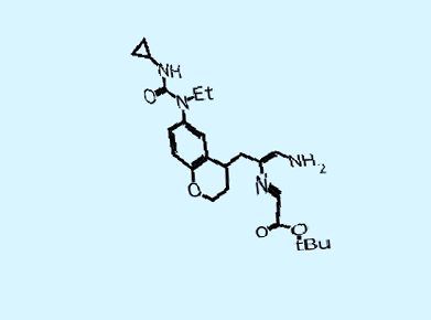 CCN(C(=O)NC1CC1)c1ccc2c(c1)C(CC(=C/N)/N=C/C(=O)OC(C)(C)C)CCO2